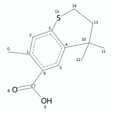 Cc1cc2c(cc1C(=O)O)C(C)(C)CCS2